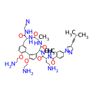 Cc1cc(-n2cc(C#CC(C)C)cn2)ccc1C(=O)N[C@@H](CCN)C(=O)N(C)[C@@H]1C(=O)N[C@@H](C)C(=O)N[C@H](C(=O)NCC#N)Cc2ccc(OCCN)c(c2)-c2cc1ccc2OCCN